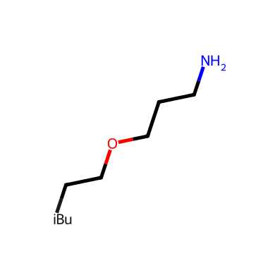 CCC(C)CCOCCCN